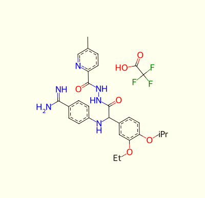 CCOc1cc(C(Nc2ccc(C(=N)N)cc2)C(=O)NNC(=O)c2ccc(C)cn2)ccc1OC(C)C.O=C(O)C(F)(F)F